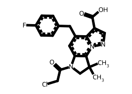 CC1(C)CN(C(=O)CCl)c2cc(Cc3ccc(F)cc3)c3c(C(=O)O)cnn3c21